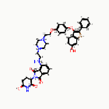 O=C1CCC(N2C(=O)c3cccc(NCCN4CCN(CCOc5ccc(Oc6c(-c7ccccc7)sc7cc(O)ccc67)cc5)CC4)c3C2=O)C(=O)N1